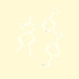 COc1ccc(Nc2cc(N)cc(-n3c(C)nc4cc(F)c(F)cc43)n2)cc1